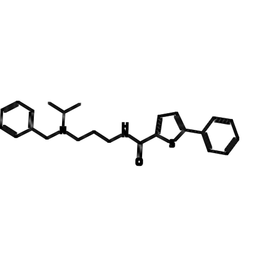 CC(C)N(CCCNC(=O)c1ccc(-c2ccccc2)s1)Cc1ccccc1